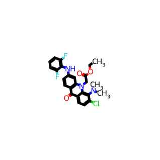 CCOC(=O)Cn1c2cc(Nc3c(F)cccc3F)ccc2c(=O)c2ccc(Cl)c(N(C)C)c21